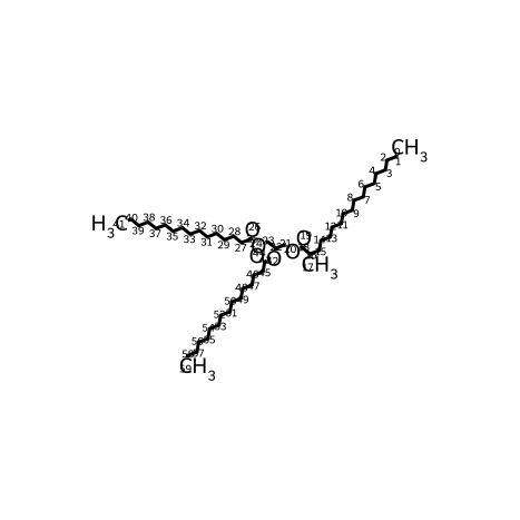 CCCCCCCCCCCCCCCCC(C)C(=O)OCC(COC(=O)CCCCCCCCCCCCCCC)OC(=O)CCCCCCCCCCCCCCC